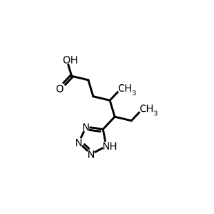 CCC(c1nnn[nH]1)C(C)CCC(=O)O